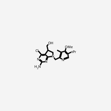 CCCc1cnc(CN2CC(CO)c3c(Cl)nc(N)nc32)c(C)c1OC